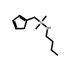 CCCCN[Si](C)(C)CC1=CC=CC1